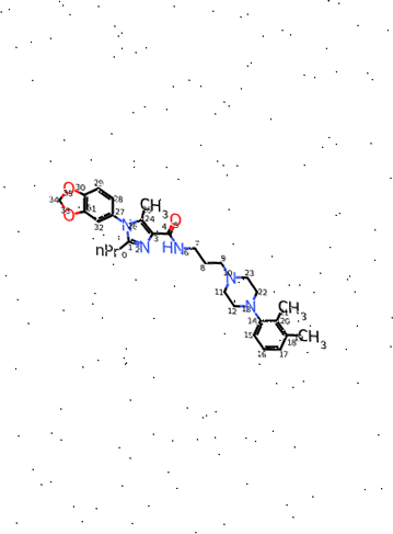 CCCc1nc(C(=O)NCCCN2CCN(c3cccc(C)c3C)CC2)c(C)n1-c1ccc2c(c1)OCO2